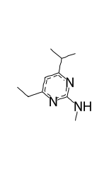 CCc1cc(C(C)C)nc(NC)n1